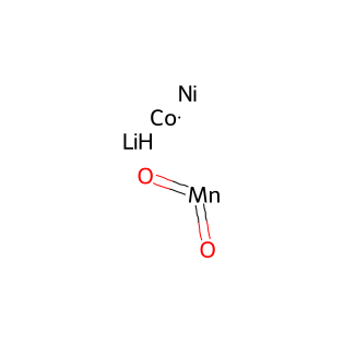 [Co].[LiH].[Ni].[O]=[Mn]=[O]